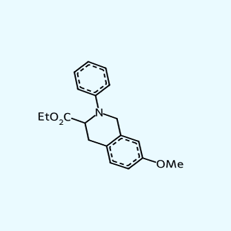 CCOC(=O)C1Cc2ccc(OC)cc2CN1c1ccccc1